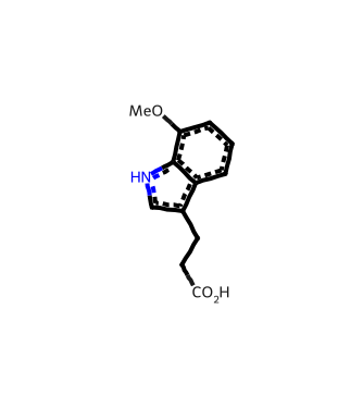 COc1cccc2c(CCC(=O)O)c[nH]c12